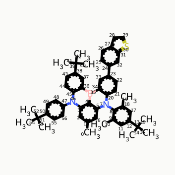 Cc1cc2c3c(c1)N(c1c(C)cc(C(C)(C)C)cc1C)c1ccc(-c4ccc5ccsc5c4)cc1B3c1cc(C(C)(C)C)ccc1N2c1ccc(C(C)(C)C)cc1